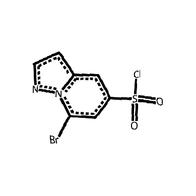 O=S(=O)(Cl)c1cc(Br)n2nccc2c1